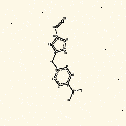 CN(C)c1ccc(Cc2nc(C=O)cs2)cc1